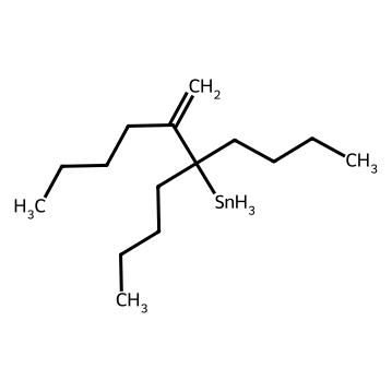 C=C(CCCC)[C]([SnH3])(CCCC)CCCC